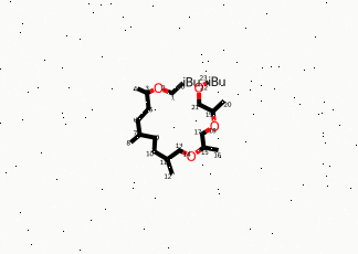 CCC(C)COC(C)CCC(C)CCC(C)COC(C)COC(C)COC(C)CC